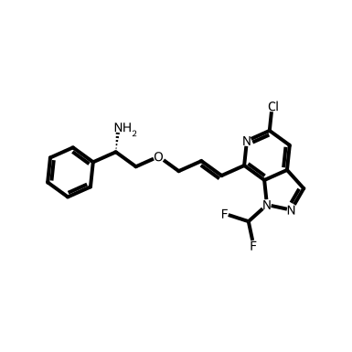 N[C@H](COCC=Cc1nc(Cl)cc2cnn(C(F)F)c12)c1ccccc1